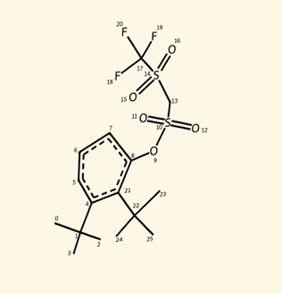 CC(C)(C)c1cccc(OS(=O)(=O)CS(=O)(=O)C(F)(F)F)c1C(C)(C)C